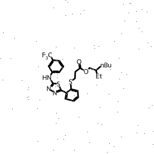 CCCCC(CC)COC(=O)CCSc1ccccc1-c1nnc(Nc2cccc(C(F)(F)F)c2)s1